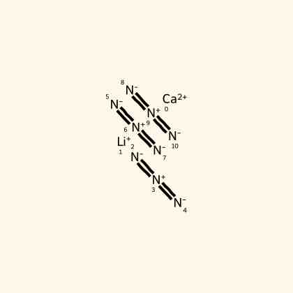 [Ca+2].[Li+].[N-]=[N+]=[N-].[N-]=[N+]=[N-].[N-]=[N+]=[N-]